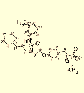 CCOC(Cc1ccc(OCCN(CCCC2CCCCC2)C(=O)Nc2cccc(C)c2)cc1)C(=O)O